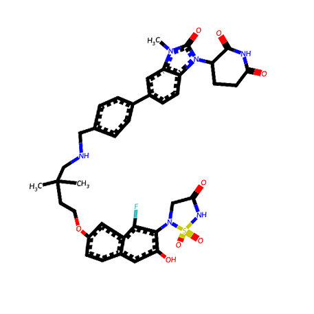 Cn1c(=O)n(C2CCC(=O)NC2=O)c2ccc(-c3ccc(CNCC(C)(C)CCOc4ccc5cc(O)c(N6CC(=O)NS6(=O)=O)c(F)c5c4)cc3)cc21